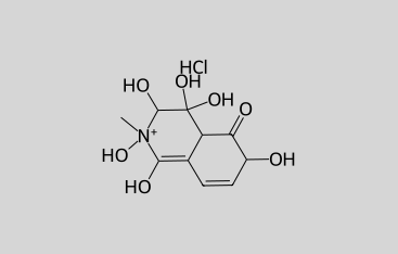 C[N+]1(O)C(O)=C2C=CC(O)C(=O)C2C(O)(O)C1O.Cl